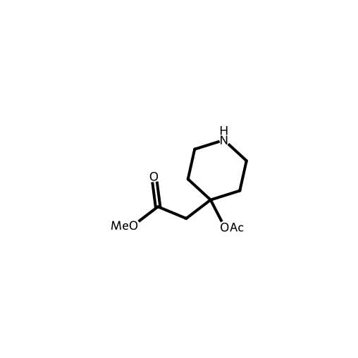 COC(=O)CC1(OC(C)=O)CCNCC1